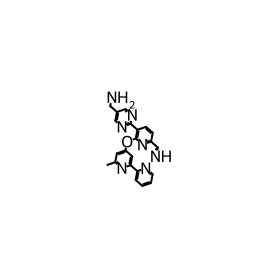 Cc1cc(Oc2nc(C=N)ccc2-c2ncc(CN)cn2)cc(-c2ccccn2)n1